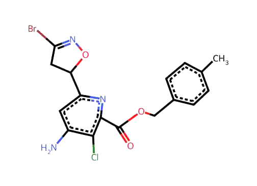 Cc1ccc(COC(=O)c2nc(C3CC(Br)=NO3)cc(N)c2Cl)cc1